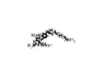 CCCCCNc1nc(N)nc2ccn(Cc3ccc(CN4CCN(CCOCCOCCN)CC4)cc3OC)c12